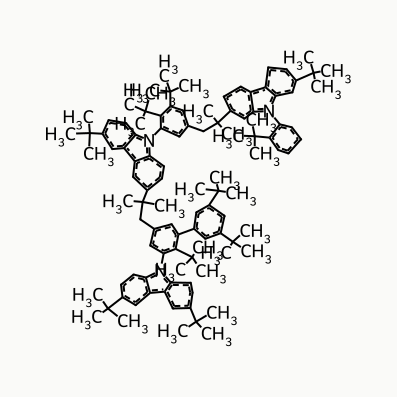 CC(C)(C)c1cc(-c2cc(CC(C)(C)c3ccc4c(c3)c3cc(C(C)(C)C)ccc3n4-c3cc(CC(C)(C)c4ccc5c6ccc(C(C)(C)C)cc6n(-c6ccccc6C(C)(C)C)c5c4)cc(C(C)(C)C)c3C(C)(C)C)cc(-n3c4ccc(C(C)(C)C)cc4c4cc(C(C)(C)C)ccc43)c2C(C)(C)C)cc(C(C)(C)C)c1